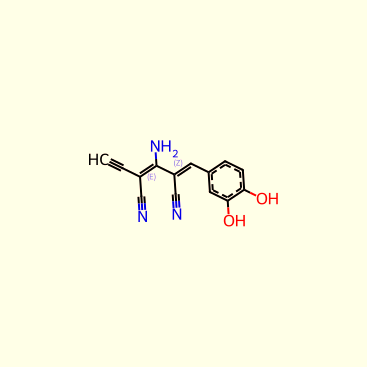 C#C/C(C#N)=C(N)/C(C#N)=C/c1ccc(O)c(O)c1